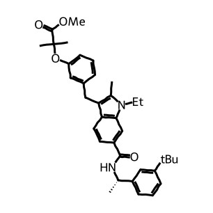 CCn1c(C)c(Cc2cccc(OC(C)(C)C(=O)OC)c2)c2ccc(C(=O)N[C@@H](C)c3cccc(C(C)(C)C)c3)cc21